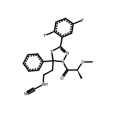 CO[C@@H](C)C(=O)N1N=C(c2cc(F)ccc2F)SC1(CCNC#N)c1ccccc1